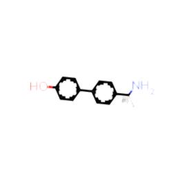 C[C@@H](N)c1ccc(-c2ccc(O)cc2)cc1